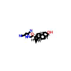 C[C@@]1(O)CC[C@H]2[C@H](CC[C@@H]3[C@@H]2CC[C@@]2(C)[C@H]3[C@@H]3C[C@@H]3[C@@H]2C(=O)Cn2nc(C#N)cc2C#N)C1